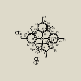 CC1=C(C)C(C)([Si](c2ccc(C)cc2[Si](C)(C)C)(c2ccc(C)cc2[Si](C)(C)C)c2ccc(C)cc2[Si](C)(C)C)[C]([Ti+3])=C1C.[Cl-].[Cl-].[Cl-]